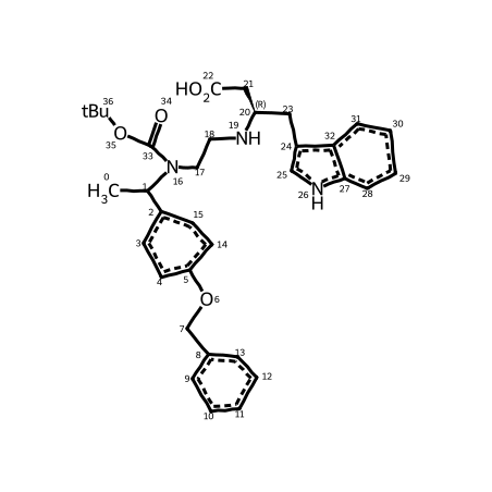 CC(c1ccc(OCc2ccccc2)cc1)N(CCN[C@@H](CC(=O)O)Cc1c[nH]c2ccccc12)C(=O)OC(C)(C)C